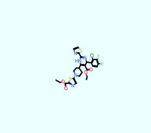 CCOC(=O)C1=C(C2CCN(c3cnc(C(=O)OCC)s3)CC2)NC(c2nccs2)=NC1c1ccc(F)c(F)c1Cl